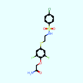 NC(=O)COc1c(F)cc(SCCNS(=O)(=O)c2ccc(Cl)cc2)cc1F